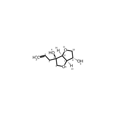 C=CC[C@@]1(O)CO[C@@H]2[C@@H](O)CO[C@@H]21